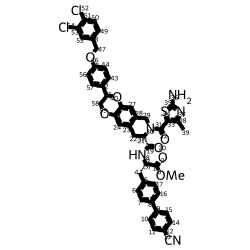 COC(=O)[C@H](Cc1ccc(-c2ccc(C#N)cc2)cc1)NC(=O)[C@@H]1Cc2cc3c(cc2CN1C(=O)c1sc(N)nc1C)OC(c1ccc(OCc2ccc(Cl)c(Cl)c2)cc1)CO3